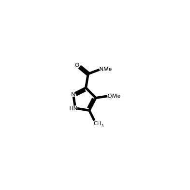 CNC(=O)c1n[nH]c(C)c1OC